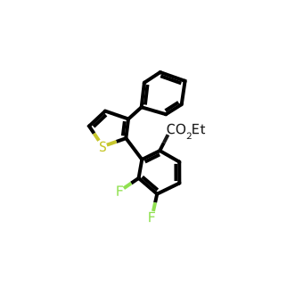 CCOC(=O)c1ccc(F)c(F)c1-c1sccc1-c1ccccc1